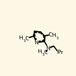 Cc1ccc(C)c(N(C)CC(C)C)n1